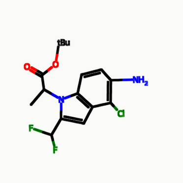 CC(C(=O)OC(C)(C)C)n1c(C(F)F)cc2c(Cl)c(N)ccc21